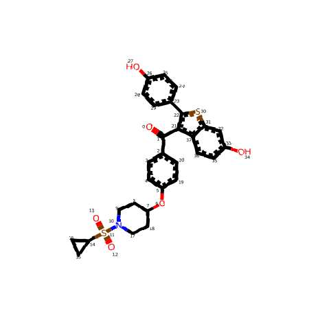 O=C(c1ccc(OC2CCN(S(=O)(=O)C3CC3)CC2)cc1)c1c(-c2ccc(O)cc2)sc2cc(O)ccc12